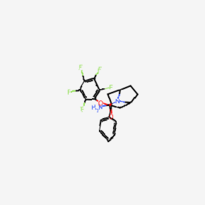 NC(=O)N1C2CCC1CC(Oc1c(F)c(F)c(F)c(F)c1F)(c1ccccc1)C2